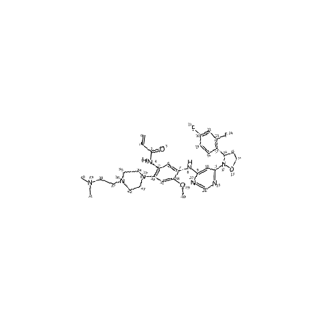 C=CC(=O)Nc1cc(Nc2cc(N3OCCC3c3ccc(F)cc3F)ncn2)c(OC)cc1N1CCN(CCN(C)C)CC1